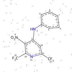 O=[N+]([O-])c1c(Nc2ccccc2)cc(C(F)(F)F)nc1C(F)(F)F